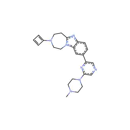 CN1CCN(c2cncc(-c3ccc4nc5n(c4c3)CCN(C3=CC=C3)CC5)n2)CC1